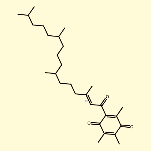 CC1=C(C)C(=O)C(C(=O)/C=C(\C)CCCC(C)CCCC(C)CCCC(C)C)=C(C)C1=O